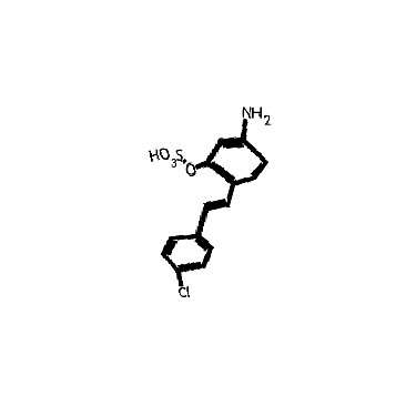 Nc1ccc(C=Cc2ccc(Cl)cc2)c(OS(=O)(=O)O)c1